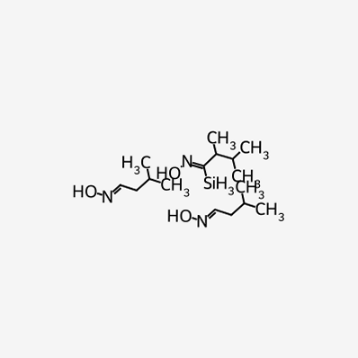 CC(C)C(C)C([SiH3])=NO.CC(C)CC=NO.CC(C)CC=NO